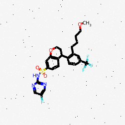 COCCCCc1cc(C(F)(F)F)ccc1C1CCOc2cc(S(=O)(=O)Nc3ncc(F)cn3)ccc21